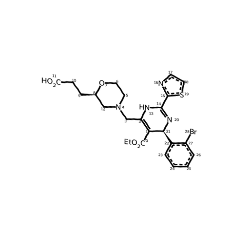 CCOC(=O)C1=C(CN2CCO[C@H](CCC(=O)O)C2)NC(c2nccs2)=N[C@H]1c1ccccc1Br